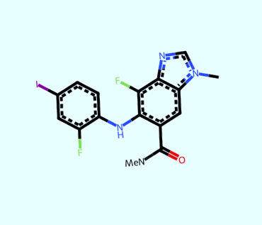 CNC(=O)c1cc2c(ncn2C)c(F)c1Nc1ccc(I)cc1F